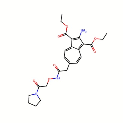 CCOC(=O)c1c2ccc(CC(=O)NOCC(=O)N3CCCC3)ccc-2c(C(=O)OCC)c1N